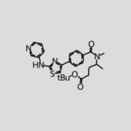 CC(CCC(=O)OC(C)(C)C)N(C)C(=O)c1ccc(-c2csc(Nc3cccnc3)n2)cc1